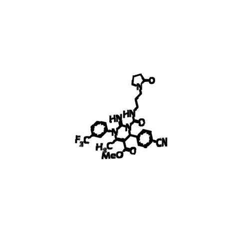 COC(=O)C1=C(C)N(c2cccc(C(F)(F)F)c2)C(=N)N(C(=O)NCCCN2CCCC2=O)C1c1ccc(C#N)cc1